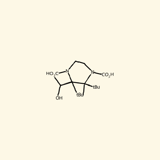 CC(O)C1(C(C)(C)C)N(C(=O)O)CCN(C(=O)O)C1(C)C(C)(C)C